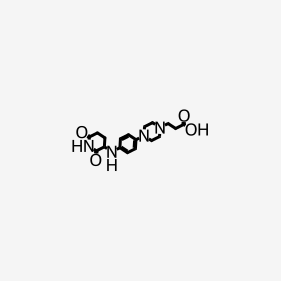 O=C(O)CCN1CCN(c2ccc(NC3CCC(=O)NC3=O)cc2)CC1